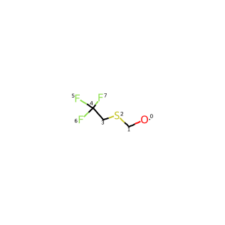 [O]CSCC(F)(F)F